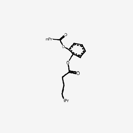 CCCC(=O)Oc1ccccc1OC(=O)CCCC(C)C